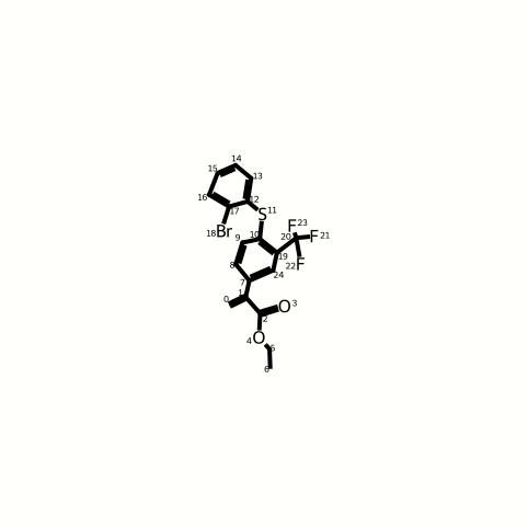 C=C(C(=O)OCC)c1ccc(Sc2ccccc2Br)c(C(F)(F)F)c1